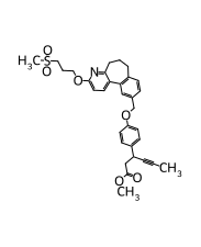 CC#CC(CC(=O)OC)c1ccc(OCc2ccc3c(c2)-c2ccc(OCCCS(C)(=O)=O)nc2CCC3)cc1